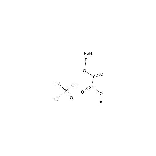 O=C(OF)C(=O)OF.O=P(O)(O)O.[NaH]